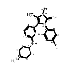 Cc1c(-c2ccnc(N[C@H]3CC[C@H](C)CC3)n2)n(-c2ccc(F)cc2)c(=O)n1C(C)C